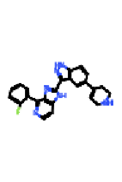 Fc1ccccc1-c1nccc2[nH]c(-c3n[nH]c4ccc(C5=CCNCC5)cc34)nc12